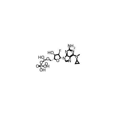 CN(c1nc(N)nc2c1ncn2[C@@H]1O[C@H](COP(=O)(O)OP(=O)(O)O)[C@@H](O)[C@H]1F)C1CC1